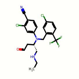 CCNC[C@H](CC=O)N(Cc1cc(Cl)ccc1C(F)(F)F)c1ccc(C#N)c(Cl)c1